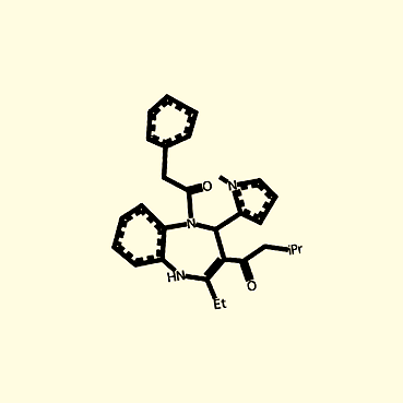 CCC1=C(C(=O)CC(C)C)C(c2cccn2C)N(C(=O)Cc2ccccc2)c2ccccc2N1